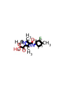 Cc1ccc(NC(=O)c2c(C)c(C(=O)C(=O)O)n(C)c2C)cc1F